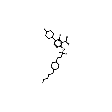 CCCCCC1CCC(CCC(F)(F)Oc2ccc(C3CCC(C)CC3)c(F)c2C(F)F)CC1